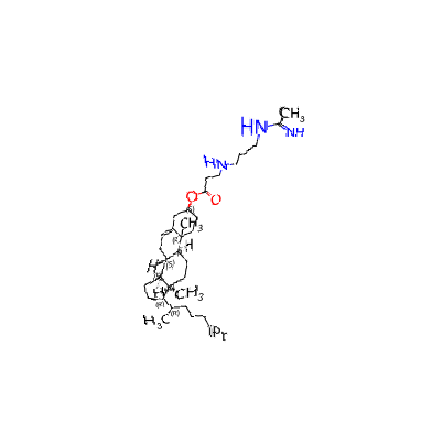 CC(=N)NCCCNCCC(=O)O[C@H]1CC[C@@]2(C)C(=CC[C@H]3[C@@H]4CC[C@H]([C@H](C)CCCC(C)C)[C@@]4(C)CC[C@@H]32)C1